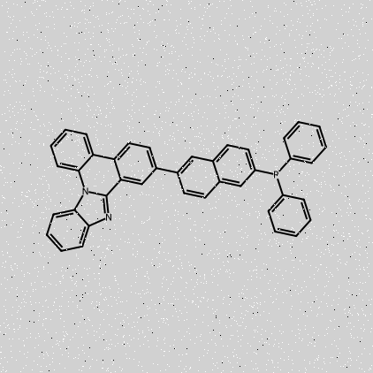 c1ccc(P(c2ccccc2)c2ccc3cc(-c4ccc5c6ccccc6n6c7ccccc7nc6c5c4)ccc3c2)cc1